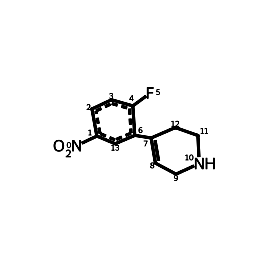 O=[N+]([O-])c1ccc(F)c(C2=CCNCC2)c1